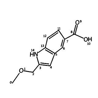 COCc1cc2cc(C(=O)O)ccc2[nH]1